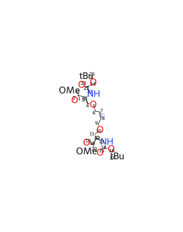 COC(=O)[C@H](COC/C=C\COC[C@H](NC(=O)OC(C)(C)C)C(=O)OC)NC(=O)OC(C)(C)C